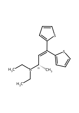 CCN(CC)[C@@H](C)C=C(c1cccs1)c1cccs1